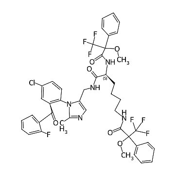 COC(C(=O)NCCCC[C@H](NC(=O)C(OC)(c1ccccc1)C(F)(F)F)C(=O)NCc1cnc(C)n1-c1ccc(Cl)cc1C(=O)c1ccccc1F)(c1ccccc1)C(F)(F)F